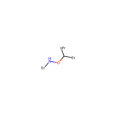 C[CH]NOC(CC)CCC